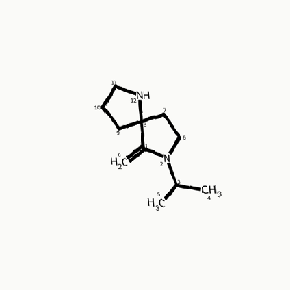 C=C1N(C(C)C)CCC12CCCN2